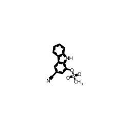 CS(=O)(=O)Oc1cc(C#N)cc2c1[nH]c1ccccc12